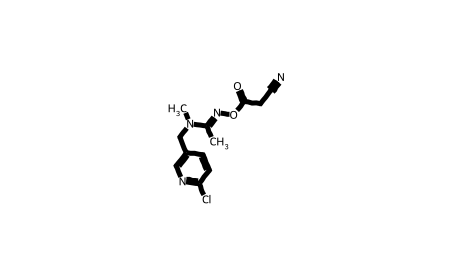 C/C(=N\OC(=O)CC#N)N(C)Cc1ccc(Cl)nc1